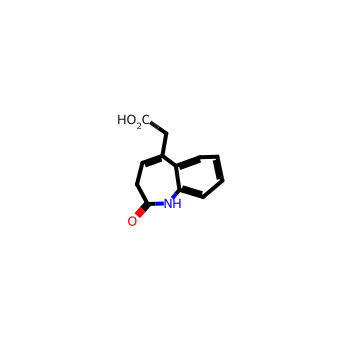 O=C(O)CC1=CCC(=O)Nc2ccccc21